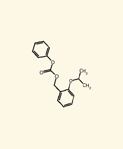 CC(C)Oc1ccccc1COC(=O)Oc1ccccc1